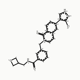 O=C(NCC1COC1)c1cccc(Cn2ccc3cc(-c4c[nH]nc4Cl)ccc3c2=O)c1